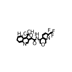 CC1(C)OC(C(=O)N[C@@H]2COCc3nc(C(F)(F)F)ccc32)=c2cnc3c(c21)C=CCC=3